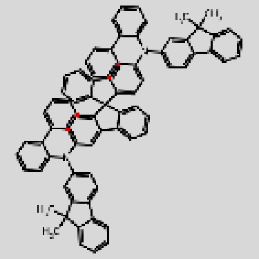 CC1(C)c2ccccc2-c2ccc(N(c3ccc4c(c3)-c3ccccc3C43c4ccccc4-c4cc(N(c5ccc6c(c5)C(C)(C)c5ccccc5-6)c5ccccc5-c5ccccc5)ccc43)c3ccccc3-c3ccccc3)cc21